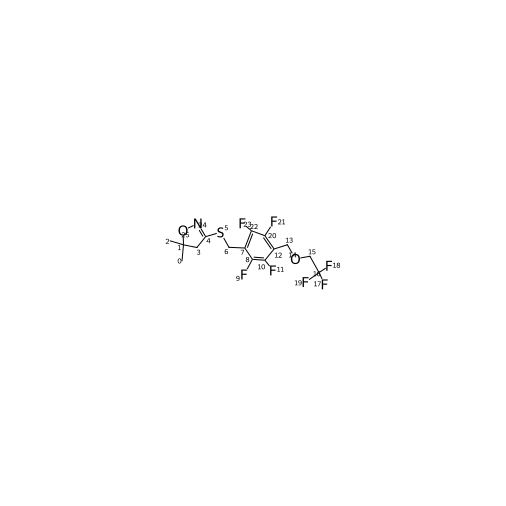 CC1(C)CC(SCc2c(F)c(F)c(COCC(F)(F)F)c(F)c2F)=NO1